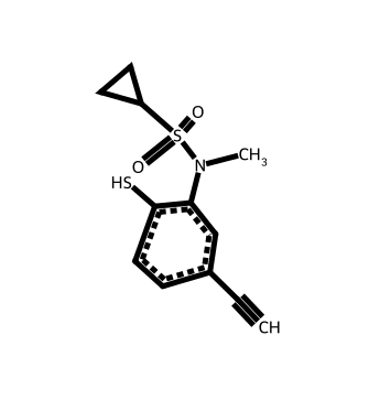 C#Cc1ccc(S)c(N(C)S(=O)(=O)C2CC2)c1